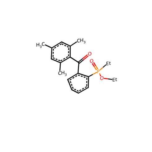 CCOP(=O)(CC)c1ccccc1C(=O)c1c(C)cc(C)cc1C